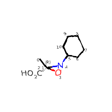 C[C@]1(C(=O)O)ON1C1CCCCC1